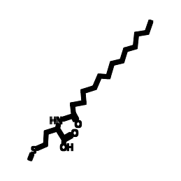 CCCCCCCCCCCCCC(=O)NC(CCSC)C(=O)O